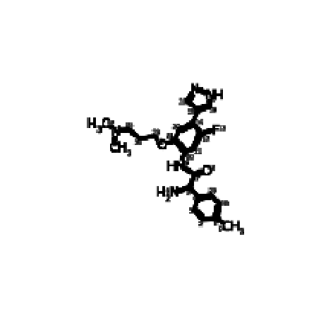 Cc1ccc(C(N)C(=O)Nc2cc(F)c(-c3cn[nH]c3)cc2OCCCN(C)C)cc1